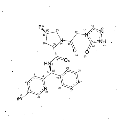 CC(C)c1ccc([C@@H](NC(=O)[C@@H]2C[C@@H](F)CN2C(=O)Cn2cn[nH]c2=O)c2ccccc2)nc1